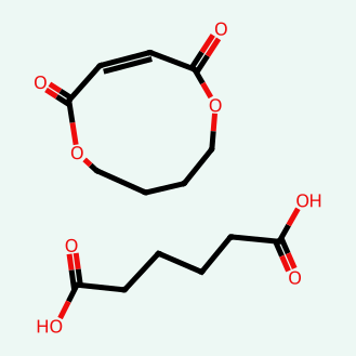 O=C(O)CCCCC(=O)O.O=C1/C=C\C(=O)OCCCCO1